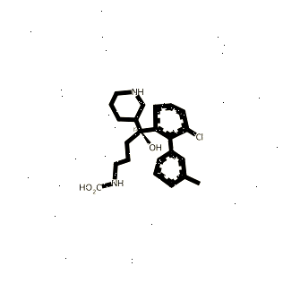 Cc1cccc(-c2c(Cl)cccc2[C@](O)(CCCNC(=O)O)C2CCCNC2)c1